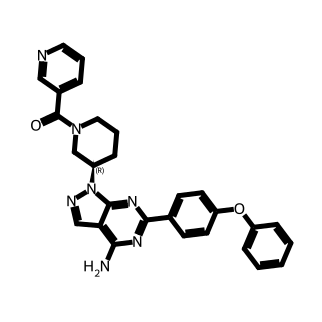 Nc1nc(-c2ccc(Oc3ccccc3)cc2)nc2c1cnn2[C@@H]1CCCN(C(=O)c2cccnc2)C1